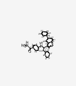 O=C(NO)c1ccc(NC(Cc2ccccc2)c2csc3ccc(-c4ccccc4)cc23)cc1